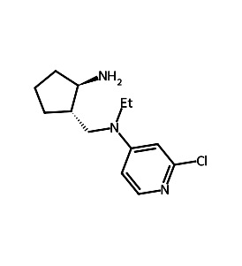 CCN(C[C@@H]1CCC[C@H]1N)c1ccnc(Cl)c1